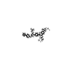 CCS(=O)(=O)c1ccc([C@H](CC(=O)OC)NC(=O)c2ccc(N3C[C@@H](Oc4ccc(-n5nccn5)cn4)C[C@H]3COC(F)F)nc2)cc1